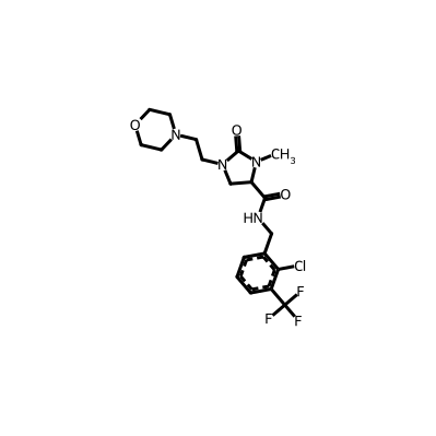 CN1C(=O)N(CCN2CCOCC2)CC1C(=O)NCc1cccc(C(F)(F)F)c1Cl